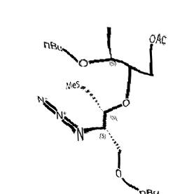 CCCCOC[C@H](N=[N+]=[N-])[C@@H](OC(COC(C)=O)[C@H](C)OCCCC)SC